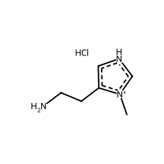 C[n+]1c[nH]cc1CCN.Cl